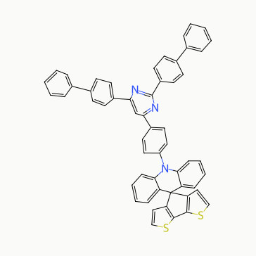 c1ccc(-c2ccc(-c3cc(-c4ccc(N5c6ccccc6C6(c7ccccc75)c5ccsc5-c5sccc56)cc4)nc(-c4ccc(-c5ccccc5)cc4)n3)cc2)cc1